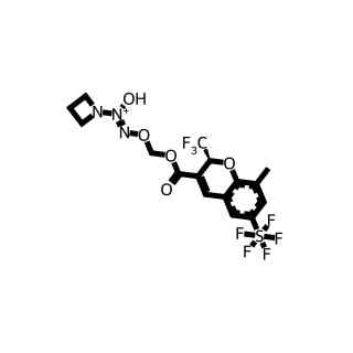 Cc1cc(S(F)(F)(F)(F)F)cc2c1O[C@H](C(F)(F)F)C(C(=O)OCO/N=[N+](\O)N1CCC1)=C2